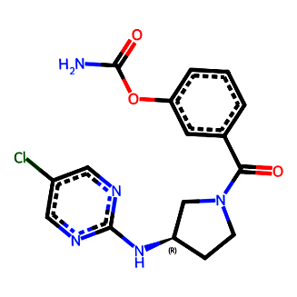 NC(=O)Oc1cccc(C(=O)N2CC[C@@H](Nc3ncc(Cl)cn3)C2)c1